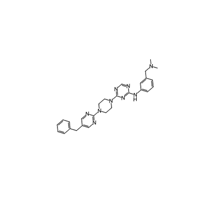 CN(C)Cc1cccc(Nc2ncnc(N3CCN(c4ncc(Cc5ccccc5)cn4)CC3)n2)c1